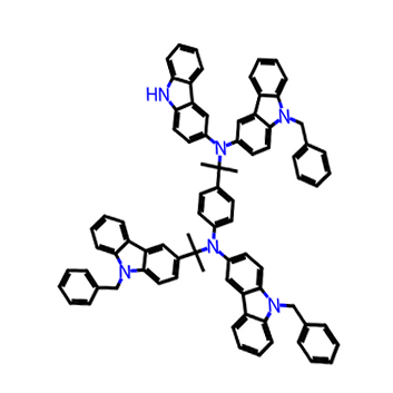 CC(C)(c1ccc(N(c2ccc3c(c2)c2ccccc2n3Cc2ccccc2)C(C)(C)c2ccc3c(c2)c2ccccc2n3Cc2ccccc2)cc1)N(c1ccc2[nH]c3ccccc3c2c1)c1ccc2c(c1)c1ccccc1n2Cc1ccccc1